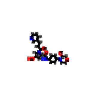 O=C(Nc1ccc(N2CCOCC2=O)cc1)[C@H]1C[C@@H](O)CN1C(=O)/C=C/c1cccnc1